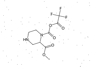 COC(=O)C1CNCCN1C(=O)OC(=O)C(F)(F)F